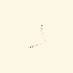 [Al+3].[Al+3].[La+3].[La+3].[Lu+3].[Lu+3].[O-2].[O-2].[O-2].[O-2].[O-2].[O-2].[O-2].[O-2].[O-2]